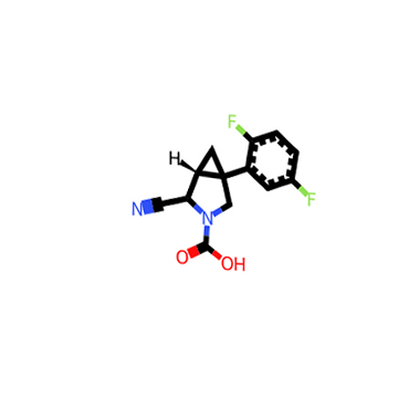 N#CC1[C@@H]2CC2(c2cc(F)ccc2F)CN1C(=O)O